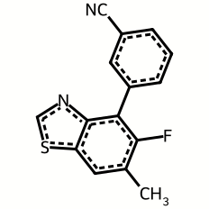 Cc1cc2scnc2c(-c2cccc(C#N)c2)c1F